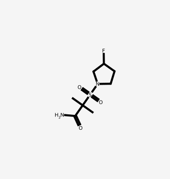 CC(C)(C(N)=O)S(=O)(=O)N1CCC(F)C1